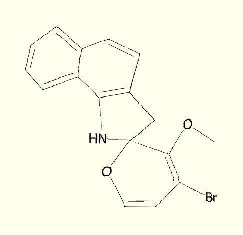 COC1=C(Br)C=COC12Cc1ccc3ccccc3c1N2